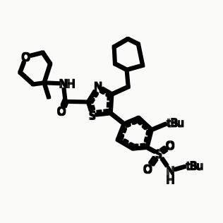 CC(C)(C)NS(=O)(=O)c1ccc(-c2sc(C(=O)NC3(C)CCOCC3)nc2CC2CCCCC2)cc1C(C)(C)C